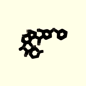 CN1CCCC2(C1)Nc1c(cnc3[nH]cc(C(=O)c4ccc(Oc5ccccc5)cc4Cl)c13)N(C)C2=O